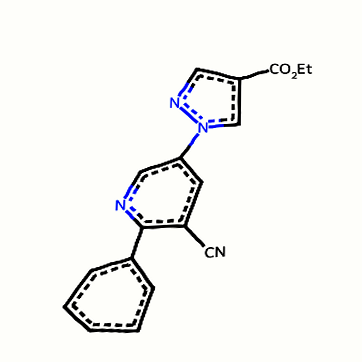 CCOC(=O)c1cnn(-c2cnc(-c3ccccc3)c(C#N)c2)c1